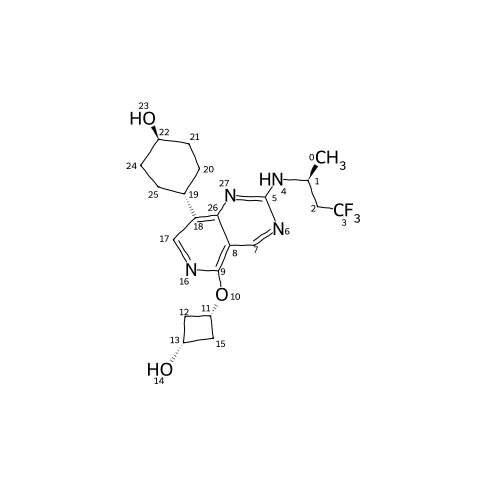 C[C@@H](CC(F)(F)F)Nc1ncc2c(O[C@H]3C[C@@H](O)C3)ncc([C@H]3CC[C@H](O)CC3)c2n1